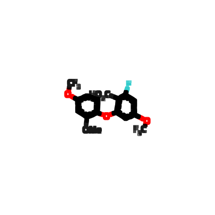 COc1cc(OC(F)(F)F)ccc1Oc1cc(OC(F)(F)F)cc(F)c1C(=O)O